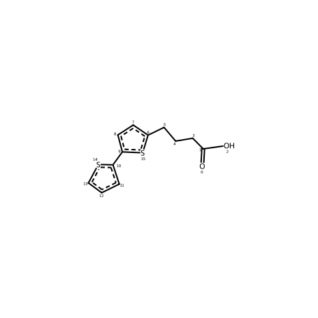 O=C(O)CCCc1ccc(-c2cccs2)s1